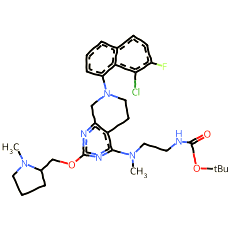 CN(CCNC(=O)OC(C)(C)C)c1nc(OCC2CCCN2C)nc2c1CCN(c1cccc3ccc(F)c(Cl)c13)C2